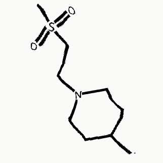 [CH2]C1CCN(CCS(C)(=O)=O)CC1